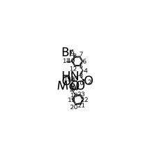 COC(=O)C(=Cc1ccc(Br)c(C)c1)NC(=O)OCc1ccccc1